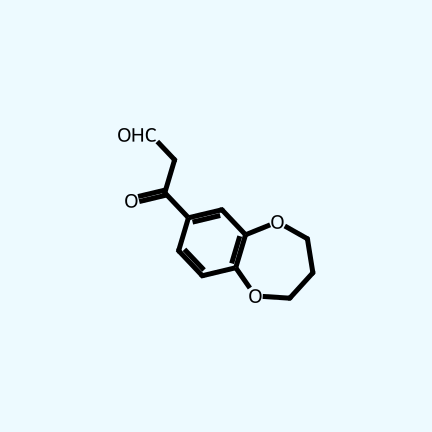 O=CCC(=O)c1ccc2c(c1)OCCCO2